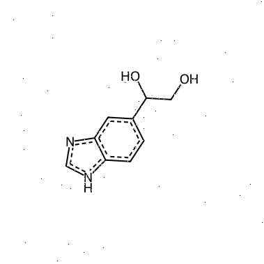 OCC(O)c1ccc2[nH]cnc2c1